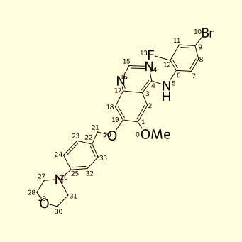 COc1cc2c(Nc3ccc(Br)cc3F)ncnc2cc1OCc1ccc(N2CCOCC2)cc1